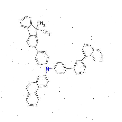 CC1(C)c2ccccc2-c2ccc(-c3ccc(N(c4ccc(-c5cccc(-c6cccc7ccccc67)c5)cc4)c4ccc5c(ccc6ccccc65)c4)cc3)cc21